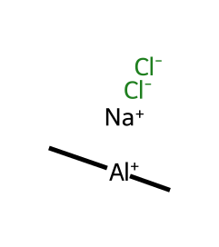 [CH3][Al+][CH3].[Cl-].[Cl-].[Na+]